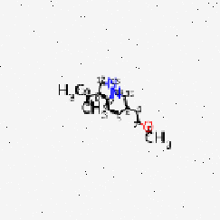 COCCc1ccc2c(C(C)C)cnn2c1